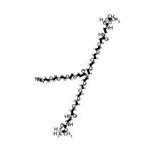 CC(C)(C)OC(=O)NCCNC(=O)CCOCCOCCOCCOCCN(CCOCCOCCOCCOCCC(=O)NCCNC(=O)OC(C)(C)C)C(=O)CCOCCOCCOCCOCCN=[N+]=[N-]